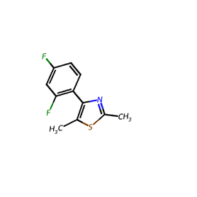 Cc1nc(-c2ccc(F)cc2F)c(C)s1